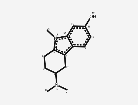 CN(C)C1CCc2c(c3ccc(O)cc3n2C)C1